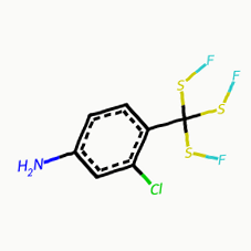 Nc1ccc(C(SF)(SF)SF)c(Cl)c1